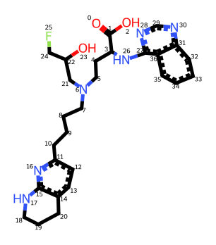 O=C(O)C(CCN(CCCCc1ccc2c(n1)NCCC2)CC(O)CF)Nc1ncnc2ccccc12